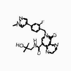 Cn1cc(-c2ccc(Cn3cc(C(=O)NCC(C)(C)O)c4nccnc4c3=O)c(F)c2)cn1